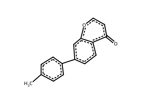 Cc1ccc(-c2ccc3c(=O)ccoc3c2)cc1